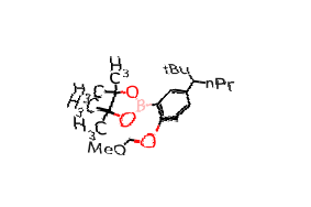 CCCC(c1ccc(OCOC)c(B2OC(C)(C)C(C)(C)O2)c1)C(C)(C)C